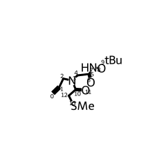 C#CCN(CC(=O)NOC(C)(C)C)C(=O)CSC